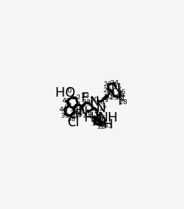 Oc1cc(-c2ncc3c(N4C[C@H]5CC[C@@H]4CN5)nc(C#C[C@@]45CCCN4C[C@H](F)C5)nc3c2F)c2c(F)c(Cl)ccc2c1